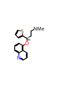 CNCC[C@@H](Oc1cccc2ncccc12)c1cccs1